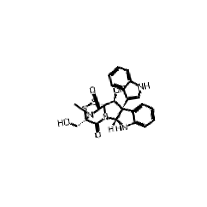 CN1C(=O)[C@]23SS[C@]1(CO)C(=O)N2[C@H]1Nc2ccccc2[C@@]1(c1c[nH]c2ccccc12)[C@@H]3O